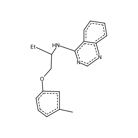 CCC(COc1cccc(C)c1)Nc1ncnc2ccccc12